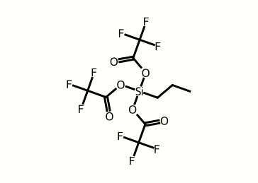 CCC[Si](OC(=O)C(F)(F)F)(OC(=O)C(F)(F)F)OC(=O)C(F)(F)F